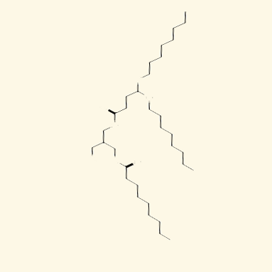 CCCCCCCCOC(CCC(=O)OCC(CO)COC(=O)CCCCCCCC)OCCCCCCCC